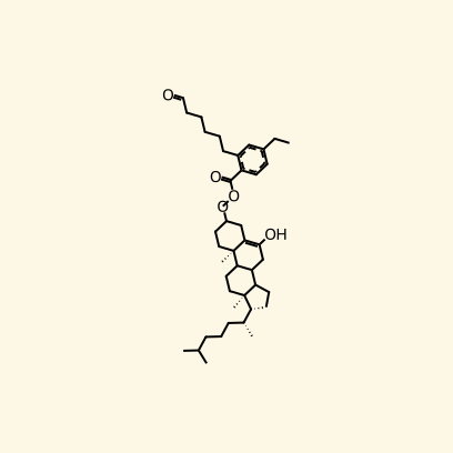 CCc1ccc(C(=O)OOC2CC[C@@]3(C)C(=C(O)CC4C3CC[C@@]3(C)C4CC[C@@H]3[C@H](C)CCCC(C)C)C2)c(CCCCCC=O)c1